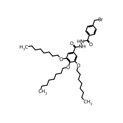 CCCCCCCCOc1cc(C(=O)NNC(=O)c2ccc(CBr)cc2)cc(OCCCCCCCC)c1OCCCCCCCC